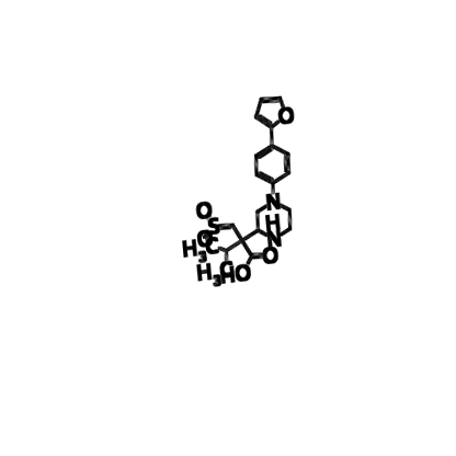 CC(C)C(C=S(=O)=O)(C(=O)O)C1CN(c2ccc(-c3ccco3)cc2)CCN1